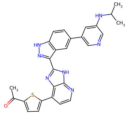 CC(=O)c1ccc(-c2ccnc3[nH]c(-c4n[nH]c5ccc(-c6cncc(NC(C)C)c6)cc45)nc23)s1